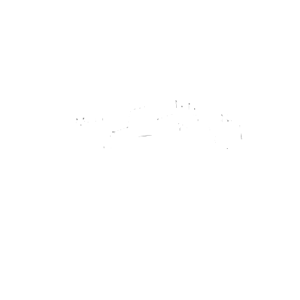 COC(=O)C1CCC(c2nnc(-c3ccccn3)o2)CC1